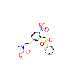 COC(=O)N(C)CCc1ccc([N+](=O)[O-])c(CS(=O)(=O)c2ccccc2)c1